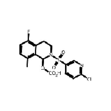 Cc1ccc(F)c2c1C(OC(=O)O)N(S(=O)(=O)c1ccc(Cl)nc1)CC2